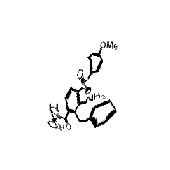 COc1ccc(S(=O)(=O)c2ccc(C(=O)NO)c(Cc3ccccc3)c2N)cc1